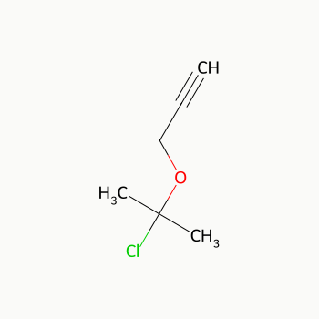 C#CCOC(C)(C)Cl